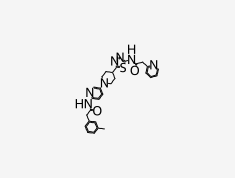 Cc1cccc(CC(=O)Nc2ccc(N3CCC(c4nnc(NC(=O)Cc5ccccn5)s4)CC3)cn2)c1